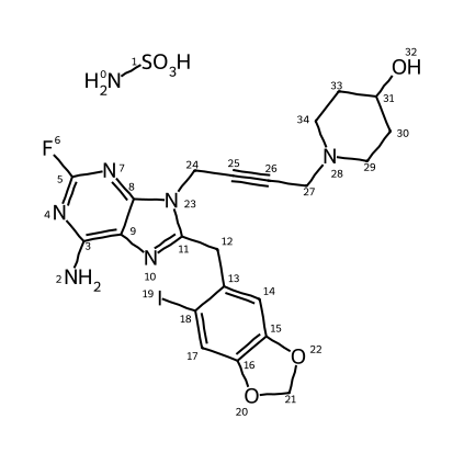 NS(=O)(=O)O.Nc1nc(F)nc2c1nc(Cc1cc3c(cc1I)OCO3)n2CC#CCN1CCC(O)CC1